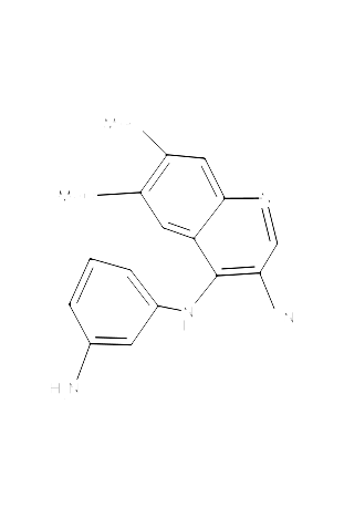 COc1cc2ncc(C#N)c(Nc3cccc(N)c3)c2cc1OC